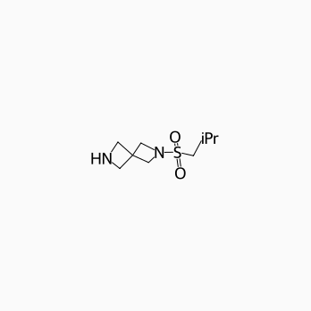 CC(C)CS(=O)(=O)N1CC2(CNC2)C1